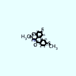 CSc1ccc(C(=O)/C(=C/N(C)C)c2ccc(F)cc2)cc1